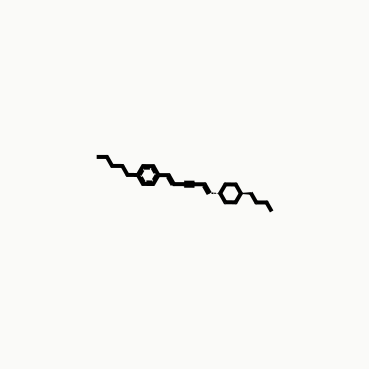 CCCCCc1ccc(C=CC#CC=C[C@H]2CC[C@H](CCCC)CC2)cc1